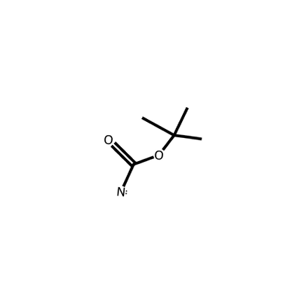 CC(C)(C)OC([N])=O